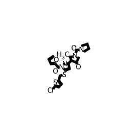 CC1C(c2cc(SCc3ccc(Cl)s3)n(C(=O)c3ccco3)n2)C(=O)CN1C(=O)N1CCCC1